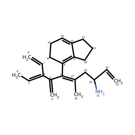 C=C/C(=C\C)C(=C)/C(C1=C2CCCC2=CCC1)=C(\C)CC(N)C=C